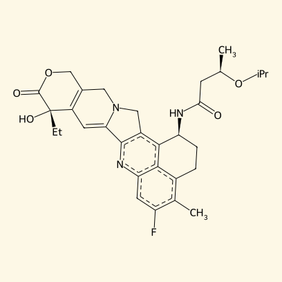 CC[C@@]1(O)C(=O)OCC2=C1C=C1c3nc4cc(F)c(C)c5c4c(c3CN1C2)[C@@H](NC(=O)C[C@@H](C)OC(C)C)CC5